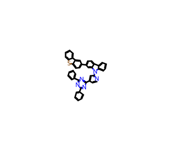 c1ccc(-c2nc(-c3ccccc3)nc(-c3ccnc(-n4c5ccccc5c5ccc(-c6ccc7sc8ccccc8c7c6)cc54)c3)n2)cc1